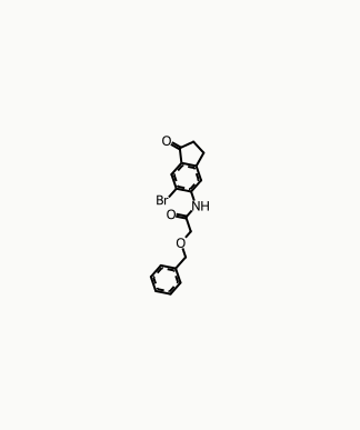 O=C(COCc1ccccc1)Nc1cc2c(cc1Br)C(=O)CC2